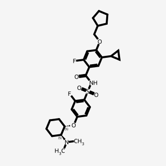 CN(C)[C@H]1CCCC[C@@H]1Oc1ccc(S(=O)(=O)NC(=O)c2cc(C3CC3)c(OCC3CCCC3)cc2F)c(F)c1